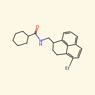 CCc1ccc2cccc3c2c1CCC3CNC(=O)C1CCCCC1